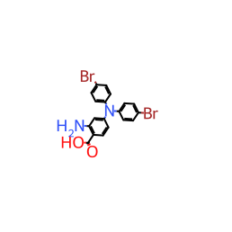 Nc1cc(N(c2ccc(Br)cc2)c2ccc(Br)cc2)ccc1C(=O)O